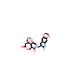 CCC1(O)CC(=O)OCc2c1ccn(Cc1cc3cc4c(cc3nc1I)OCCO4)c2=O